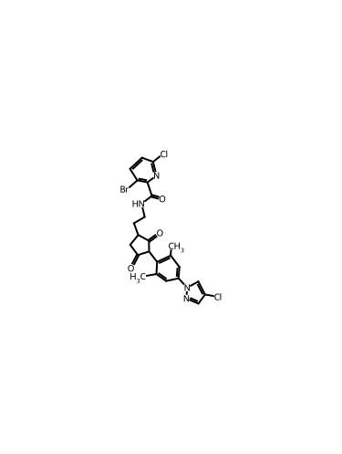 Cc1cc(-n2cc(Cl)cn2)cc(C)c1C1C(=O)CC(CCNC(=O)c2nc(Cl)ccc2Br)C1=O